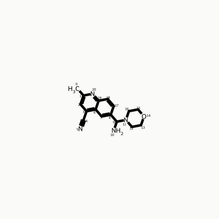 Cc1cc(C#N)c2cc(C(N)N3CCOCC3)ccc2n1